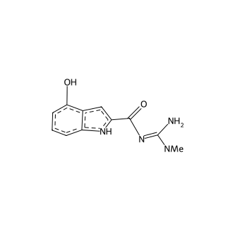 CNC(N)=NC(=O)c1cc2c(O)cccc2[nH]1